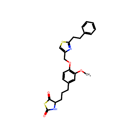 COc1cc(CCCC2NC(=O)SC2=O)ccc1OCc1csc(CCc2ccccc2)n1